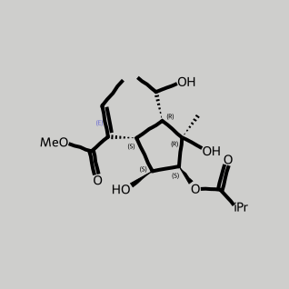 C/C=C(/C(=O)OC)[C@H]1[C@H](O)[C@H](OC(=O)C(C)C)[C@](C)(O)[C@H]1C(C)O